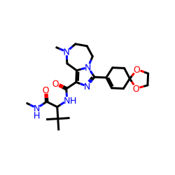 CNC(=O)C(NC(=O)c1nc(C2=CCC3(CC2)OCCO3)n2c1CN(C)CCC2)C(C)(C)C